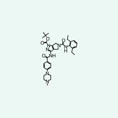 CCc1cccc(CC)c1NC(=O)N1Cc2c(NC(=O)c3ccc(N4CCN(C)CC4)cc3)nn(C(=O)OC(C)(C)C)c2C1